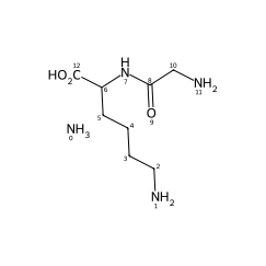 N.NCCCCC(NC(=O)CN)C(=O)O